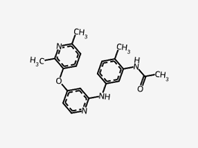 CC(=O)Nc1cc(Nc2cc(Oc3ccc(C)nc3C)ccn2)ccc1C